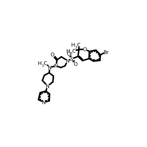 CN(C1CCN(c2ccncc2)CC1)N1CCN(S(=O)(=O)C2=Cc3ccc(Br)cc3OC2(C)C)CC1=O